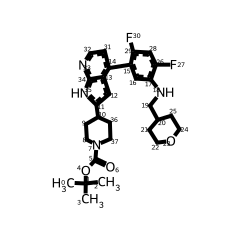 CC(C)(C)OC(=O)N1CCC(c2cc3c(-c4cc(NCC5CCOCC5)c(F)cc4F)ccnc3[nH]2)CC1